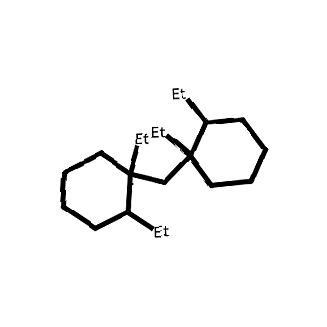 CCC1CCCCC1(CC)CC1(CC)CCCCC1CC